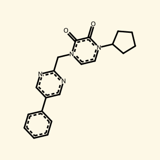 O=c1c(=O)n(C2CCCC2)ccn1Cc1ncc(-c2ccccc2)cn1